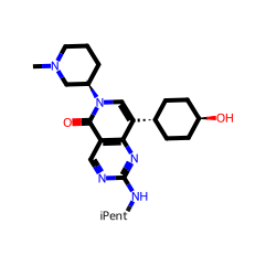 CCCC(C)Nc1ncc2c(=O)n([C@@H]3CCCN(C)C3)cc([C@H]3CC[C@H](O)CC3)c2n1